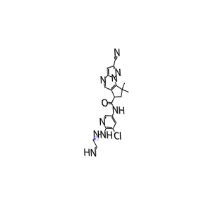 CC1(C)CC(C(=O)Nc2cnc(N/N=C\C=N)c(Cl)c2)c2cnc3cc(C#N)nn3c21